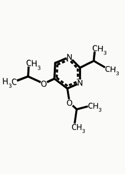 CC(C)Oc1cnc(C(C)C)nc1OC(C)C